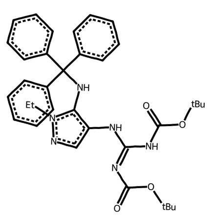 CCn1ncc(NC(=NC(=O)OC(C)(C)C)NC(=O)OC(C)(C)C)c1NC(c1ccccc1)(c1ccccc1)c1ccccc1